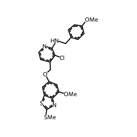 COc1ccc(CNc2nccc(COc3cc(OC)c4nc(SC)sc4c3)c2Cl)cc1